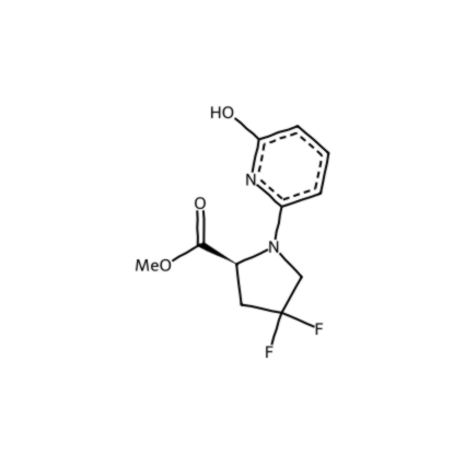 COC(=O)[C@@H]1CC(F)(F)CN1c1cccc(O)n1